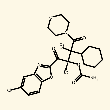 CC[C@@](OC(N)=O)(C(=O)c1nc2cc(Cl)ccc2o1)C(C)(C(=O)N1CCOCC1)C1CCCCC1